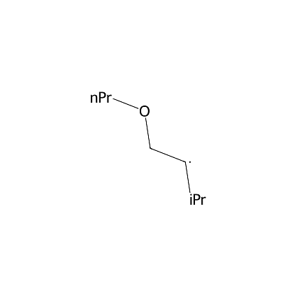 CCCOC[CH]C(C)C